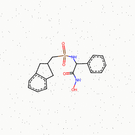 O=C(NO)C(NS(=O)(=O)CC1Cc2ccccc2C1)c1ccccc1